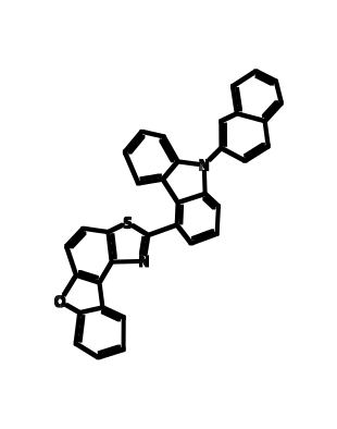 c1ccc2cc(-n3c4ccccc4c4c(-c5nc6c(ccc7oc8ccccc8c76)s5)cccc43)ccc2c1